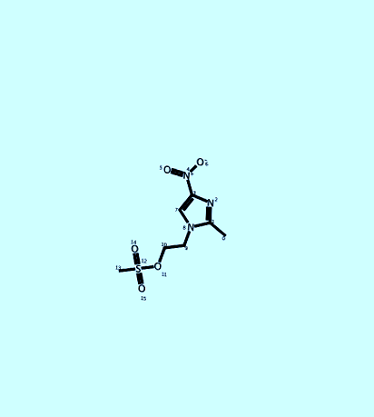 Cc1nc([N+](=O)[O-])cn1CCOS(C)(=O)=O